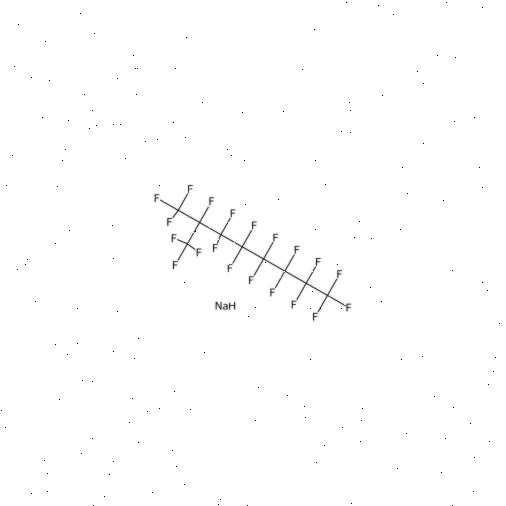 FC(F)(F)C(F)(F)C(F)(F)C(F)(F)C(F)(F)C(F)(F)C(F)(C(F)(F)F)C(F)(F)F.[NaH]